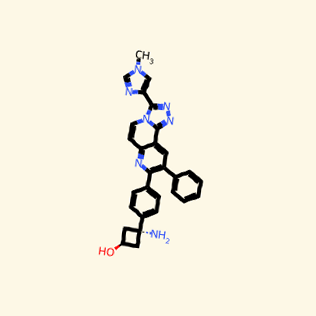 Cn1cnc(-c2nnc3c4cc(-c5ccccc5)c(-c5ccc([C@]6(N)C[C@H](O)C6)cc5)nc4ccn23)c1